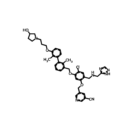 Cc1c(COc2cc(OCc3cncc(C#N)c3)c(CNCc3ncn[nH]3)cc2Cl)cccc1-c1cccc(OCCCN2CCC(O)C2)c1C